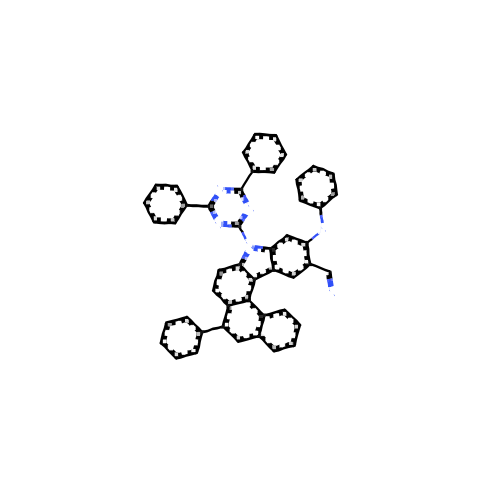 N=Cc1cc2c3c4c(ccc3n(-c3nc(-c5ccccc5)nc(-c5ccccc5)n3)c2cc1Nc1ccccc1)c(-c1ccccc1)cc1ccccc14